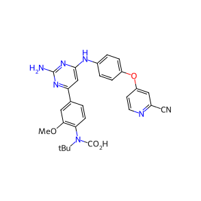 COc1cc(-c2cc(Nc3ccc(Oc4ccnc(C#N)c4)cc3)nc(N)n2)ccc1N(C(=O)O)C(C)(C)C